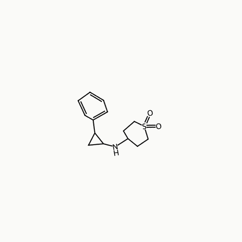 O=S1(=O)CCC(NC2CC2c2ccccc2)CC1